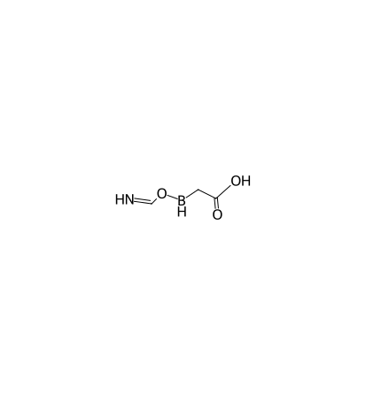 N=COBCC(=O)O